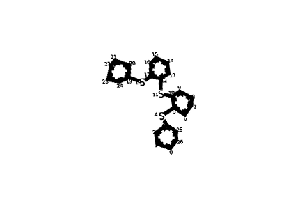 c1ccc(Sc2ccccc2Sc2ccccc2Sc2ccccc2)cc1